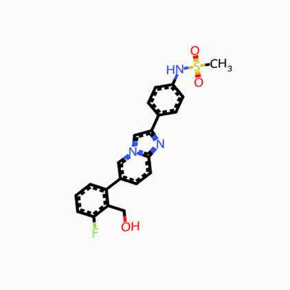 CS(=O)(=O)Nc1ccc(-c2cn3cc(-c4cccc(F)c4CO)ccc3n2)cc1